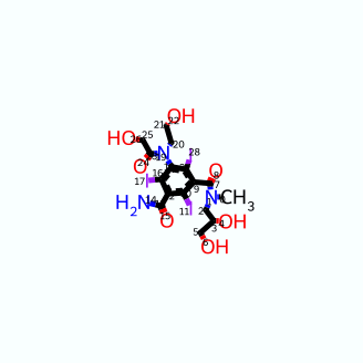 CN(CC(O)CO)C(=O)c1c(I)c(C(N)=O)c(I)c(N(CCO)C(=O)CO)c1I